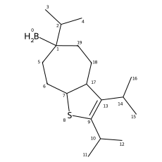 BC1(C(C)C)CCC2SC(C(C)C)=C(C(C)C)C2CC1